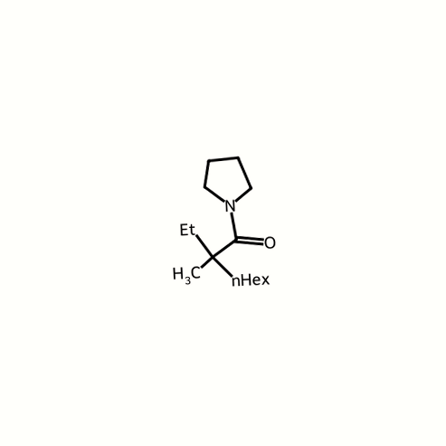 CCCCCCC(C)(CC)C(=O)N1CCCC1